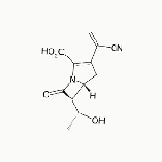 C=C(C#N)C1=C(C(=O)O)N2C(=O)[C@H]([C@@H](C)O)[C@H]2C1